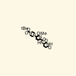 COc1nc(C(=O)N[C@H]2CCC(=O)NC2=O)ccc1N1CCN(C(=O)OC(C)(C)C)CC1